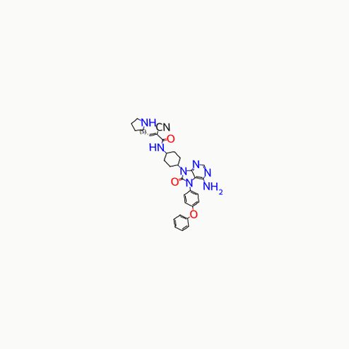 N#CC(=C[C@@H]1CCCN1)C(=O)NC1CCC(n2c(=O)n(-c3ccc(Oc4ccccc4)cc3)c3c(N)ncnc32)CC1